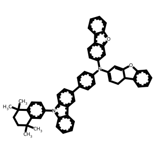 CC1(C)CCC(C)(C)c2cc(-n3c4ccccc4c4cc(-c5ccc(N(C6=CCC7C(=C6)Oc6ccccc67)c6ccc7c(c6)oc6ccccc67)cc5)ccc43)ccc21